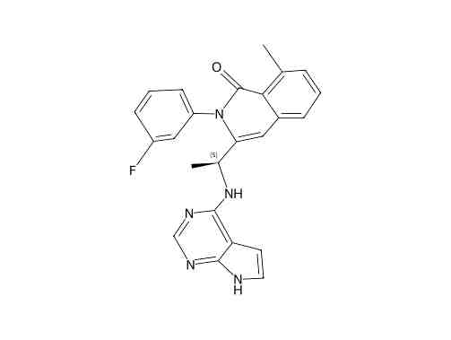 Cc1cccc2cc([C@H](C)Nc3ncnc4[nH]ccc34)n(-c3cccc(F)c3)c(=O)c12